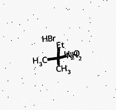 Br.CCC(C)(C)N.O